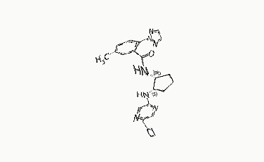 Cc1ccc(-n2nccn2)c(C(=O)N[C@@H]2CCC[C@@H]2Nc2cnc(Cl)cn2)c1